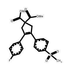 COC(=O)C1(C(=O)OC)CC(c2ccc(F)cc2)=C(c2ccc(S(C)(=O)=O)cc2)C1